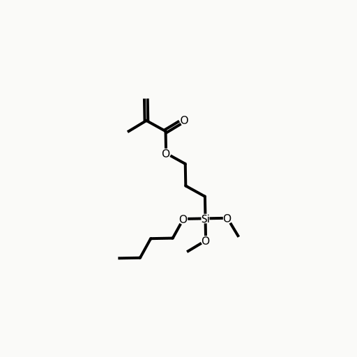 C=C(C)C(=O)OCCC[Si](OC)(OC)OCCCC